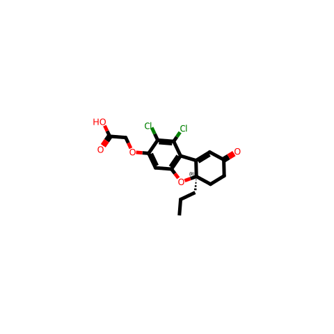 CCC[C@@]12CCC(=O)C=C1c1c(cc(OCC(=O)O)c(Cl)c1Cl)O2